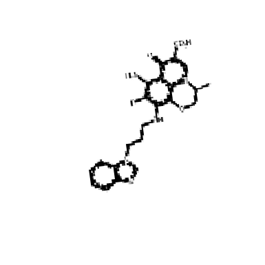 C[C@H]1COc2c(NCCCn3cnc4ccccc43)c(F)c(N)c3c(=O)c(C(=O)O)cn1c23